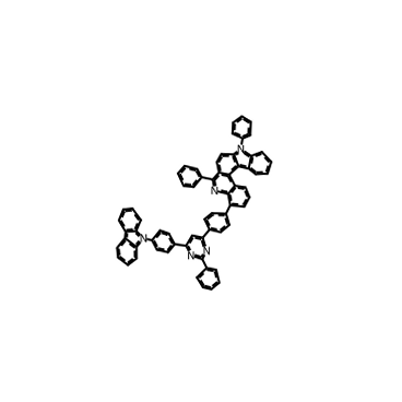 c1ccc(-c2nc(-c3ccc(-c4cccc5c4nc(-c4ccccc4)c4ccc6c(c7ccccc7n6-c6ccccc6)c45)cc3)cc(-c3ccc(-n4c5ccccc5c5ccccc54)cc3)n2)cc1